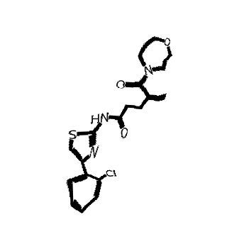 C=C(CCC(=O)Nc1nc(-c2ccccc2Cl)cs1)C(=O)N1CCOCC1